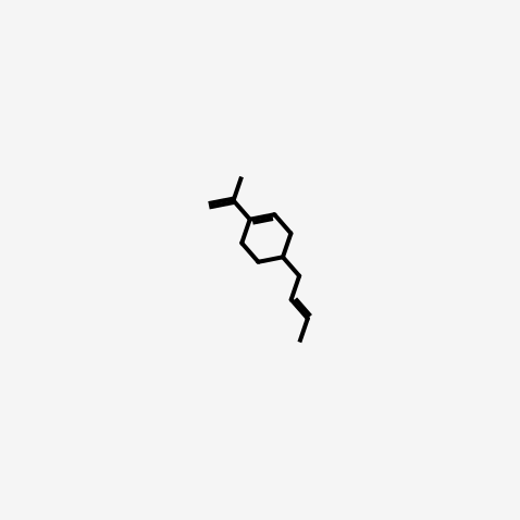 C=C(C)C1=CCC(CC=CC)CC1